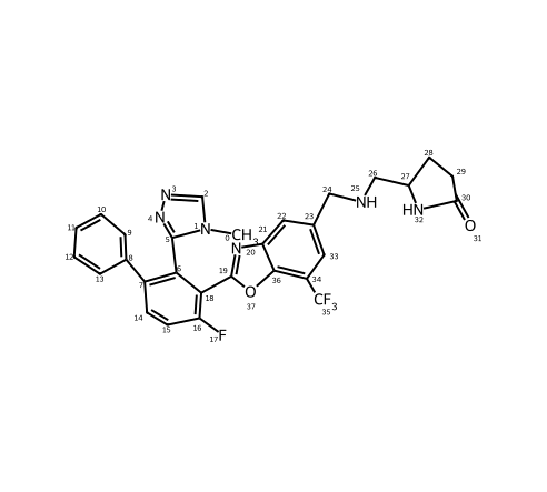 Cn1cnnc1-c1c(-c2ccccc2)ccc(F)c1-c1nc2cc(CNCC3CCC(=O)N3)cc(C(F)(F)F)c2o1